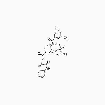 CN(C(=O)c1cc(C(F)(F)F)cc(C(F)(F)F)c1)[C@@H]1CCN(C(=O)CCc2nc3ccccc3[nH]c2=O)C[C@H]1c1ccc(Cl)c(Cl)c1